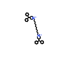 C[N+]1(CCCCCCCCCCCC[N+]2(C)CCC(=C(c3ccccc3)c3ccccc3)CC2)CCC(=C(c2ccccc2)c2ccccc2)CC1